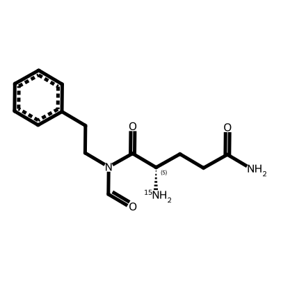 NC(=O)CC[C@H]([15NH2])C(=O)N(C=O)CCc1ccccc1